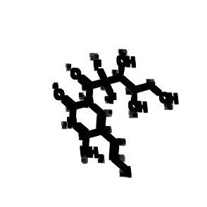 Nc1nc(=O)n(C(=O)C(F)(F)[C@@H](O)[C@H](O)CO)cc1C=CI